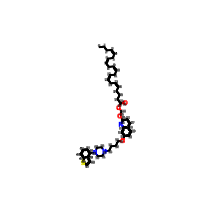 CCC/C=C\C/C=C\C/C=C\C/C=C\C/C=C\CCCC(=O)OCOc1ccc2ccc(OCCCCN3CCN(c4cccc5sccc45)CC3)cc2n1